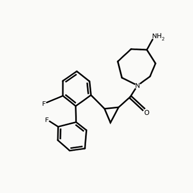 NC1CCCN(C(=O)C2CC2c2cccc(F)c2-c2ccccc2F)CC1